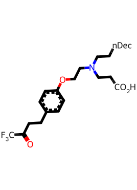 CCCCCCCCCCCCN(CCOc1ccc(CCC(=O)C(F)(F)F)cc1)CCC(=O)O